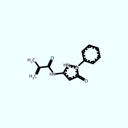 C=C(C)C(=O)Nc1cc(=O)n(-c2ccccc2)[nH]1